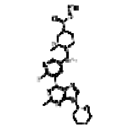 Cc1nc(-c2cc([C@@H](C)N3CCN(C(=O)OC(C)(C)C)C[C@@H]3C)cnc2F)c2ncn(C3CCCCO3)c2n1